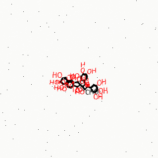 O=C[C@@](O)(C(=O)c1cc(O)c(O)c(O)c1)[C@](O)(C(=O)c1cc(O)c(O)c(O)c1)[C@@](O)(C(=O)c1cc(O)c(O)c(O)c1)[C@H](O)C(O)C(=O)c1cc(O)c(O)c(O)c1